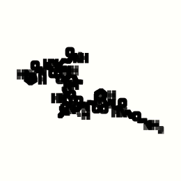 CNC(=O)CC[C@H](NC(=O)CNC(=O)[C@@H]1CCCN1)C(=O)N[C@@H](CC(C)C)C(=O)NCC(=O)N[C@@H](CC(C)C)C(=O)N[C@@H](C)C(=O)NCC(=O)N1CCC[C@H]1C(=O)NCC(=O)NCCOCCN